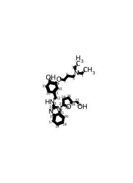 CCN(CC)CCCOc1cc(CNc2nc3ccccc3n2[C@H]2CC[C@@H](CO)O2)ccc1O